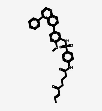 CC=CC(=O)CCCC(=O)Nc1ccc(S(=O)(=O)Nc2cc(-c3ccc4nccc(-c5ccncc5)c4c3)cnc2OC)cc1